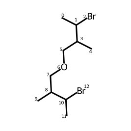 CC(Br)C(C)COCC(C)C(C)Br